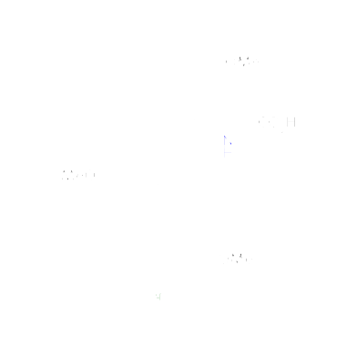 COCC(Cc1cc(OC)c(Br)cc1OC)NC(=O)O